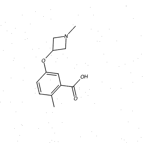 Cc1ccc(OC2CN(C)C2)cc1C(=O)O